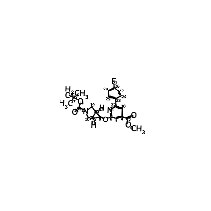 COC(=O)c1cc(OC2[C@H]3CN(C(=O)OC(C)(C)C)C[C@@H]23)nc(-c2ccc(F)cc2)c1